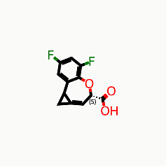 O=C(O)[C@@H]1C=C2CC2c2cc(F)cc(F)c2O1